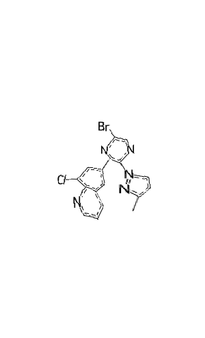 Cc1ccn(-c2ncc(Br)nc2-c2cc(Cl)c3ncccc3c2)n1